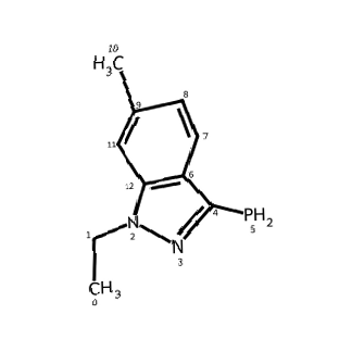 CCn1nc(P)c2ccc(C)cc21